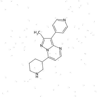 Cc1nn2c(C3CCCNC3)ccnc2c1-c1ccncc1